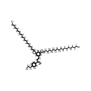 CCCCCCCCCCCCCCCCCCCOc1cc(C=CC(=S)c2ccc(CCC)cc2)cc(OCCCCCCCCCCCCCCCCCCC)c1